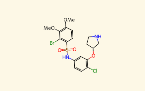 COc1ccc(S(=O)(=O)Nc2ccc(Cl)c(OC3CCNC3)c2)c(Br)c1OC